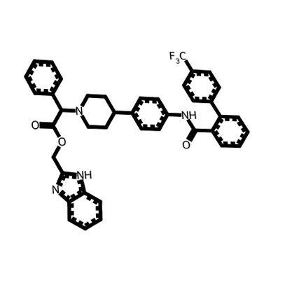 O=C(Nc1ccc(C2CCN(C(C(=O)OCc3nc4ccccc4[nH]3)c3ccccc3)CC2)cc1)c1ccccc1-c1ccc(C(F)(F)F)cc1